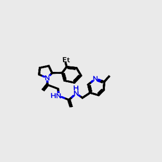 C=C(NCC(=C)N1CCCC1c1ccccc1CC)NCc1ccc(C)nc1